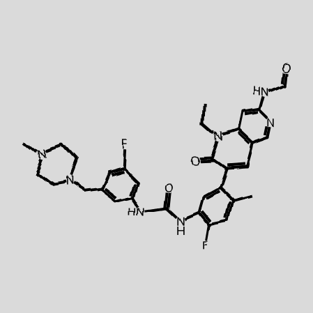 CCn1c(=O)c(-c2cc(NC(=O)Nc3cc(F)cc(CN4CCN(C)CC4)c3)c(F)cc2C)cc2cnc(NC=O)cc21